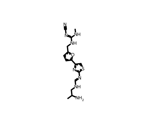 CNC(=NC#N)NCc1ccc(-c2csc(N=CNCC(C)N)n2)o1